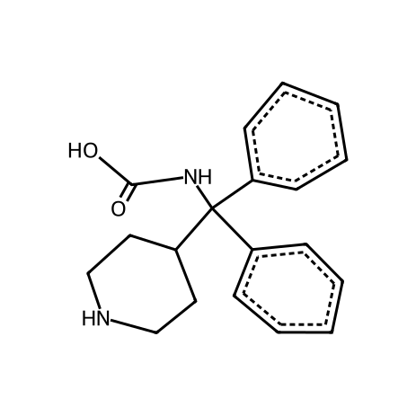 O=C(O)NC(c1ccccc1)(c1ccccc1)C1CCNCC1